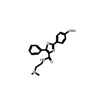 CSc1ccc(-c2nc(C(=O)NCCN(C)C)c(-c3ccccc3)o2)cc1